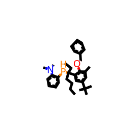 CCCCC(CC)(Pc1ccccc1N(C)C)c1cc(C(C)(C)C)cc(C)c1OCc1ccccc1